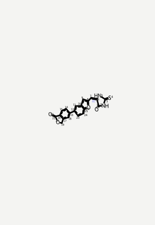 O=C1NC(=S)N/C1=C/c1cc2cc(-c3ccc4c(c3)COC4=O)ccc2o1